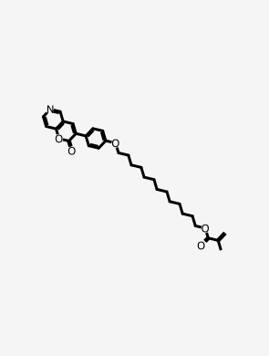 C=C(C)C(=O)OCCCCCCCCCCCCCOc1ccc(-c2cc3cnccc3oc2=O)cc1